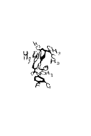 COCC(C(=O)N(C)c1ccc(F)c(Cl)c1)N(C=O)c1cc(C(C)C)cc(C)n1